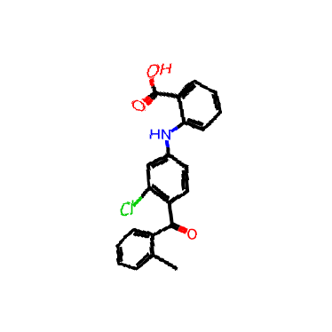 Cc1ccccc1C(=O)c1ccc(Nc2ccccc2C(=O)O)cc1Cl